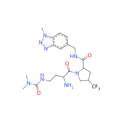 CN(C)C(=O)NCCC(N)C(=O)N1CC(C(F)(F)F)CC1C(=O)NCc1ccc2c(c1)nnn2C